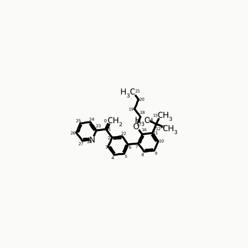 C=C(c1cccc(-c2cccc(C(C)(C)C)c2OCCCC)c1)c1ccccn1